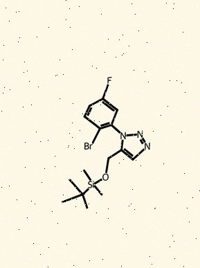 CC(C)(C)[Si](C)(C)OCc1cnnn1-c1cc(F)ccc1Br